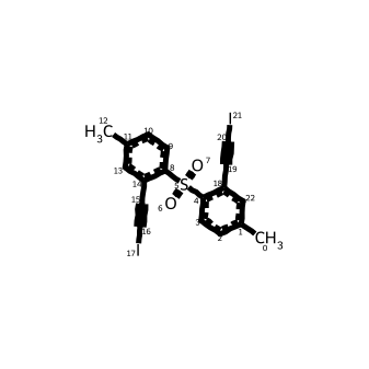 Cc1ccc(S(=O)(=O)c2ccc(C)cc2C#CI)c(C#CI)c1